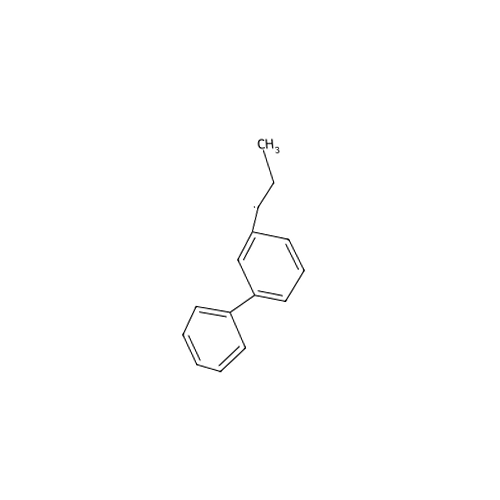 CC[CH]c1cccc(-c2ccccc2)c1